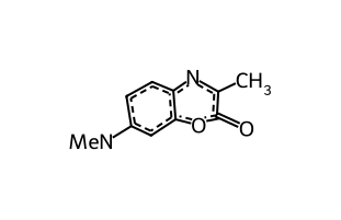 CNc1ccc2nc(C)c(=O)oc2c1